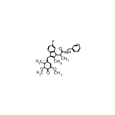 COC1=C/C(=C\C2=C(C)C(C(C)C(=O)NCc3cccnc3)c3cc(F)ccc32)C(C)C(OC)C1=O